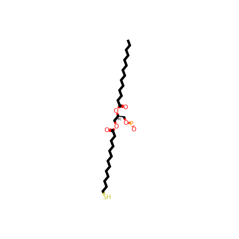 CCCCCCCCCCCCCC(=O)O[C@@H](COP=O)COC(=O)CCCCCCCCCCCCS